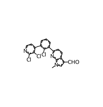 Cn1cc(C=O)c2ccc(-c3cccc(-c4ccnc(Cl)c4Cl)c3Cl)nc21